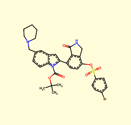 CC(C)(C)OC(=O)n1c(-c2ccc(OS(=O)(=O)c3ccc(Br)cc3)c3c2C(=O)NC3)cc2cc(CN3CCCCC3)ccc21